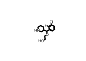 OCCOC(c1cccc(Cl)c1F)C1CCCNC1